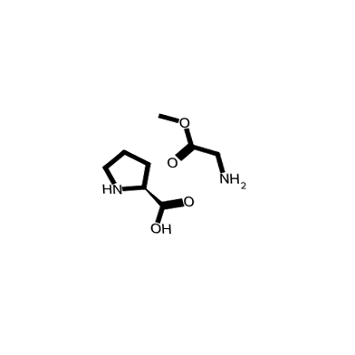 COC(=O)CN.O=C(O)[C@@H]1CCCN1